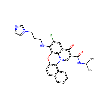 CCCC(CCC)NC(=O)c1cn2c3c(c(NCCCn4ccnc4)c(F)cc3c1=O)Oc1ccc3ccccc3c1-2